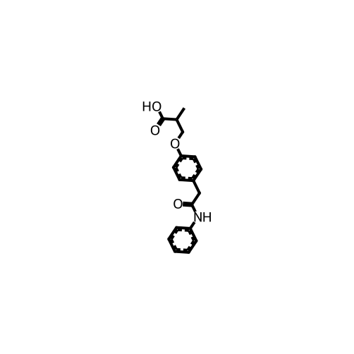 CC(COc1ccc(CC(=O)Nc2ccccc2)cc1)C(=O)O